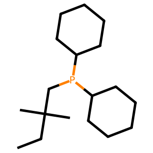 CCC(C)(C)CP(C1CCCCC1)C1CCCCC1